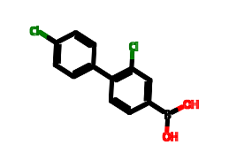 OB(O)c1ccc(-c2ccc(Cl)cc2)c(Cl)c1